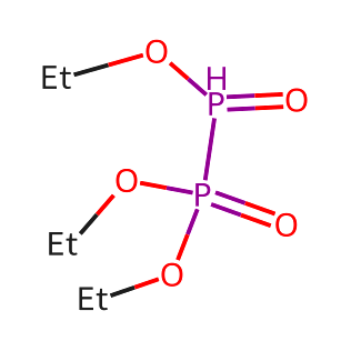 CCO[PH](=O)P(=O)(OCC)OCC